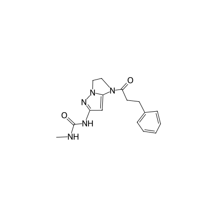 CNC(=O)Nc1cc2n(n1)CCN2C(=O)CCc1ccccc1